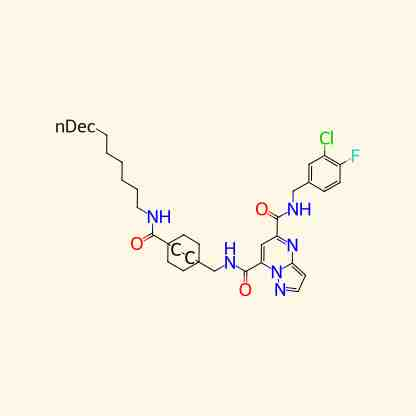 CCCCCCCCCCCCCCCCNC(=O)C12CCC(CNC(=O)c3cc(C(=O)NCc4ccc(F)c(Cl)c4)nc4ccnn34)(CC1)CC2